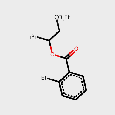 CCCC(CC(=O)OCC)OC(=O)c1ccccc1CC